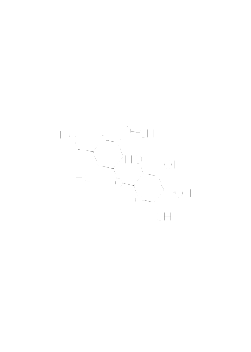 COC1CC(OC2O[C@@H](C)[C@@H](O)[C@@H](O)C2O)[C@H](O)C(CO)O1